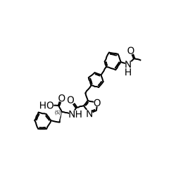 CC(=O)Nc1cccc(-c2ccc(Cc3ocnc3C(=O)N[C@@H](Cc3ccccc3)C(=O)O)cc2)c1